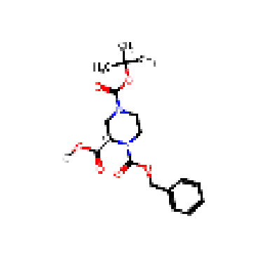 COC(=O)[C@@H]1CN(C(=O)OC(C)(C)C)CCN1C(=O)OCc1ccccc1